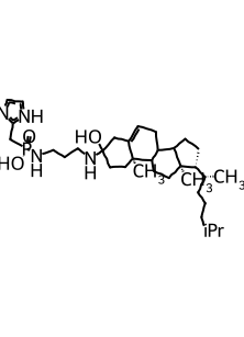 CC(C)CCC[C@@H](C)[C@H]1CCC2C3CC=C4CC(O)(NCCCNP(=O)(O)Cc5ncc[nH]5)CC[C@]4(C)C3CC[C@@]21C